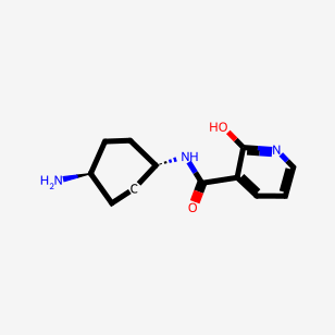 N[C@H]1CC[C@H](NC(=O)c2cccnc2O)CC1